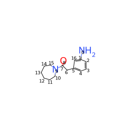 Nc1cccc(CC(=O)N2CCCCCC2)c1